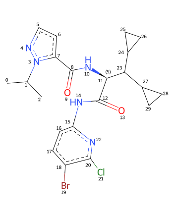 CC(C)n1nccc1C(=O)N[C@H](C(=O)Nc1ccc(Br)c(Cl)n1)C(C1CC1)C1CC1